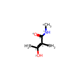 B/C(O)=C(/B)C(=O)NC